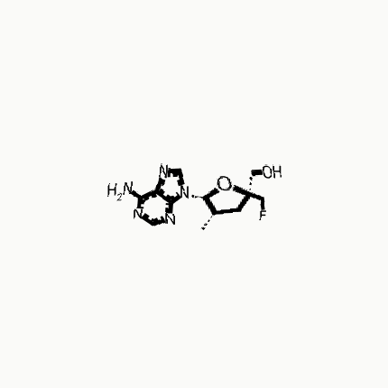 C[C@H]1C[C@](CO)(CF)O[C@H]1n1cnc2c(N)ncnc21